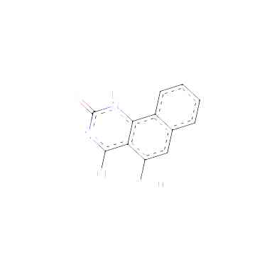 CCCCCc1cc2ccccc2c2[nH]c(=O)nc(C)c12